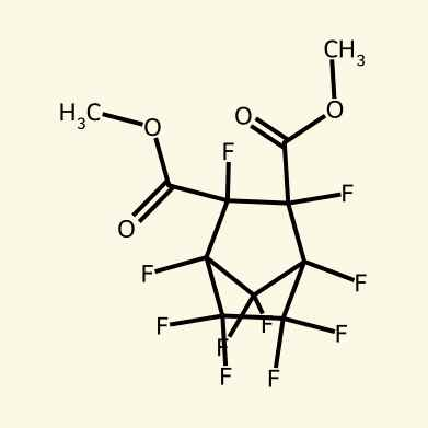 COC(=O)C1(F)C(F)(C(=O)OC)C2(F)C(F)(F)C(F)(F)C1(F)C2(F)F